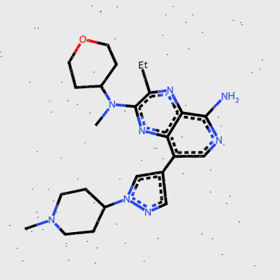 CCc1nc2c(N)ncc(-c3cnn(C4CCN(C)CC4)c3)c2nc1N(C)C1CCOCC1